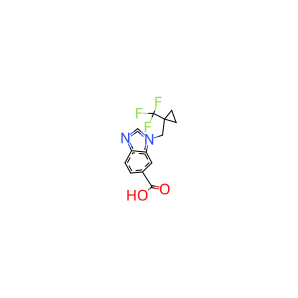 O=C(O)c1ccc2ncn(CC3(C(F)(F)F)CC3)c2c1